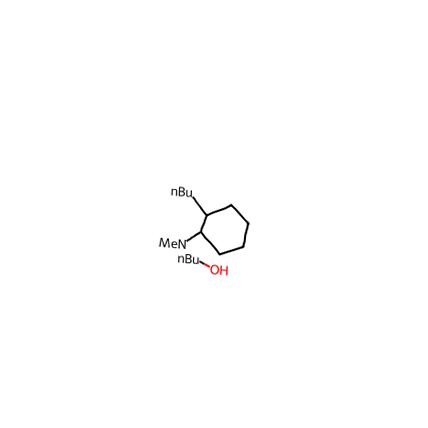 CCCCC1CCCCC1NC.CCCCO